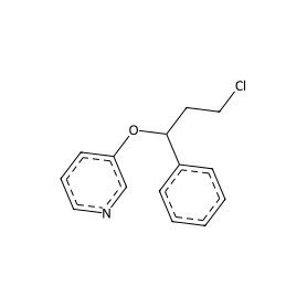 ClCCC(Oc1cccnc1)c1ccccc1